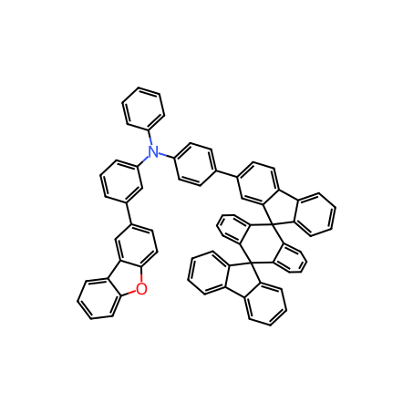 c1ccc(N(c2ccc(-c3ccc4c(c3)C3(c5ccccc5-4)c4ccccc4C4(c5ccccc5-c5ccccc54)c4ccccc43)cc2)c2cccc(-c3ccc4oc5ccccc5c4c3)c2)cc1